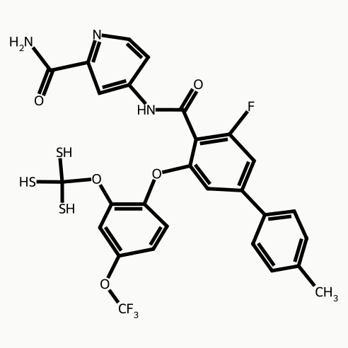 Cc1ccc(-c2cc(F)c(C(=O)Nc3ccnc(C(N)=O)c3)c(Oc3ccc(OC(F)(F)F)cc3OC(S)(S)S)c2)cc1